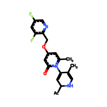 CC(=O)C1C=C(n2c(C)cc(OCc3ncc(F)cc3F)cc2=O)C(C)=CN1